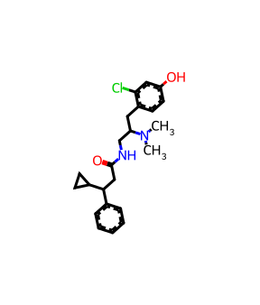 CN(C)C(CNC(=O)CC(c1ccccc1)C1CC1)Cc1ccc(O)cc1Cl